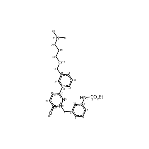 CCOC(=O)Nc1cccc(Cn2nc(-c3cccc(COCCCN(C)C)c3)ccc2=O)c1